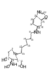 OC[C@@H]1[C@@H](NO)[C@H](O)CCN1CCCCCCNC1C=CC2N=COC2C1